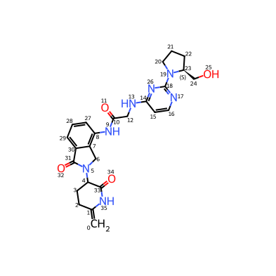 C=C1CCC(N2Cc3c(NC(=O)CNc4ccnc(N5CCC[C@H]5CO)n4)cccc3C2=O)C(=O)N1